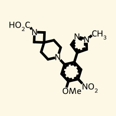 COc1cc(N2CCC3(CC2)CN(C(=O)O)C3)c(-c2cnn(C)c2)cc1[N+](=O)[O-]